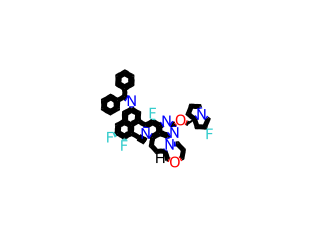 C#Cc1c(F)c(F)cc2cc(N=C(c3ccccc3)c3ccccc3)cc(-c3nc4c5c(nc(OC[C@@]67CCCN6C[C@H](F)C7)nc5c3F)N3CCCOC[C@@H]3CC4)c12